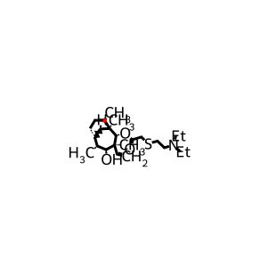 C=C[C@]1(C)[C@@H](OC(=O)CSCCN(CC)CC)[C@]2(C)C(C)CC[C@]3(CCC[C@H]32)[C@@H](C)[C@@H]1O